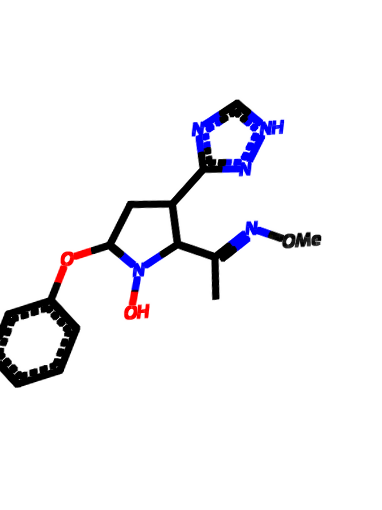 CON=C(C)C1C(c2nc[nH]n2)CC(Oc2ccccc2)N1O